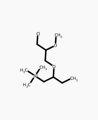 CCC(C[N+](C)(C)C)OCC(CCl)OC